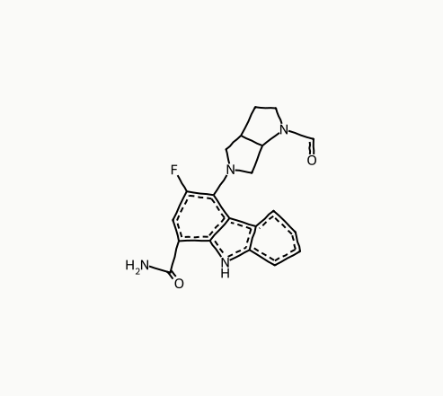 NC(=O)c1cc(F)c(N2CC3CCN(C=O)C3C2)c2c1[nH]c1ccccc12